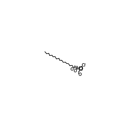 CCCCCCCCCCCCCCCCCC(=O)NC(=O)c1cc(Cl)ccc1I=O